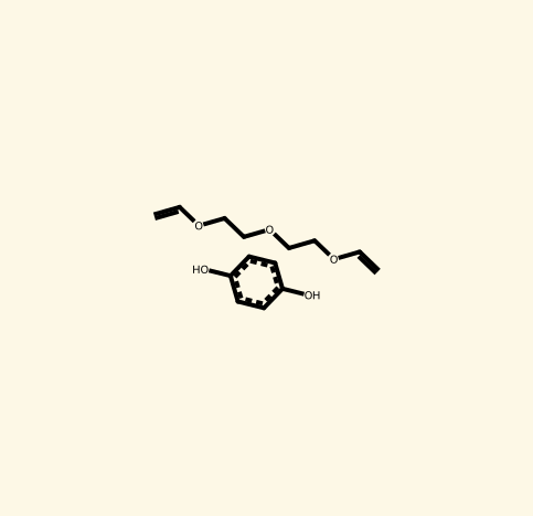 C=COCCOCCOC=C.Oc1ccc(O)cc1